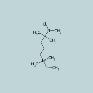 CC[N+](C)(C)CCCC(C)(C)N(C)Cl